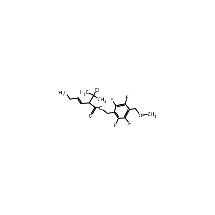 CC/C=C/C(C(=O)OCc1c(F)c(F)c(COC)c(F)c1F)C(C)(C)Cl